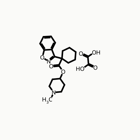 CN1CCC(OC(=O)C2(c3noc4ccccc34)CCCCC2)CC1.O=C(O)C(=O)O